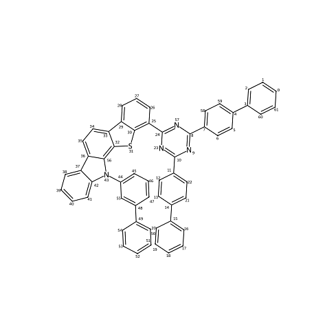 c1ccc(-c2ccc(-c3nc(-c4ccc(-c5ccccc5)cc4)nc(-c4cccc5c4sc4c5ccc5c6ccccc6n(-c6cccc(-c7ccccc7)c6)c54)n3)cc2)cc1